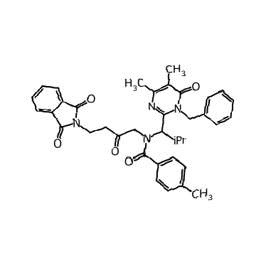 Cc1ccc(C(=O)N(CC(=O)CCN2C(=O)c3ccccc3C2=O)C(c2nc(C)c(C)c(=O)n2Cc2ccccc2)C(C)C)cc1